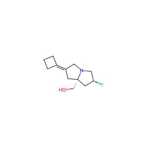 OC[C@]12CC(=C3CCC3)CN1C[C@@H](F)C2